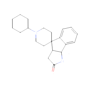 O=C1CC2[C@H](N1)c1ccccc1C21CCN(C2CCCCC2)CC1